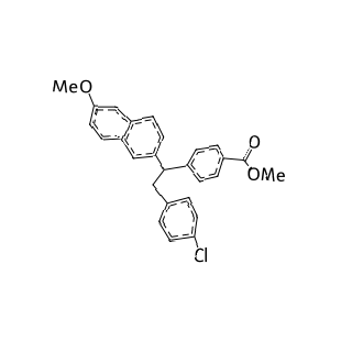 COC(=O)c1ccc(C(Cc2ccc(Cl)cc2)c2ccc3cc(OC)ccc3c2)cc1